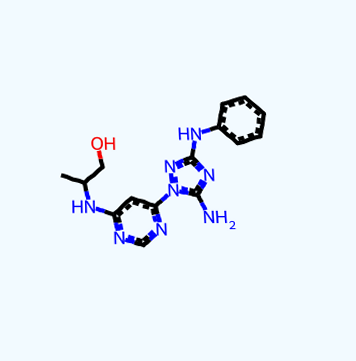 CC(CO)Nc1cc(-n2nc(Nc3ccccc3)nc2N)ncn1